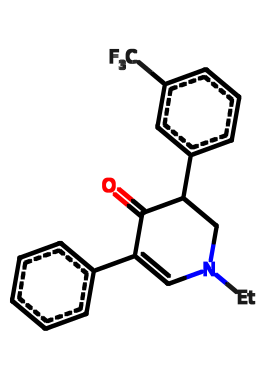 CCN1C=C(c2ccccc2)C(=O)C(c2cccc(C(F)(F)F)c2)C1